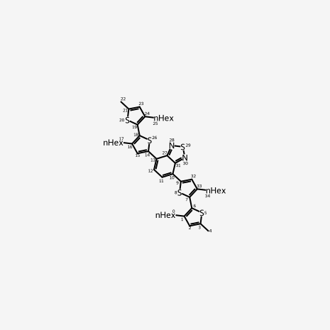 CCCCCCc1cc(C)sc1-c1sc(-c2ccc(-c3cc(CCCCCC)c(-c4sc(C)cc4CCCCCC)s3)c3nsnc23)cc1CCCCCC